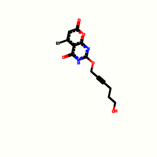 CCc1cc(=O)oc2nc(OCC#CCCCO)[nH]c(=O)c12